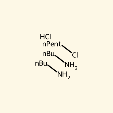 CCCCCCl.CCCCN.CCCCN.Cl